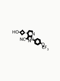 N#Cc1nn(-c2ccc(OC(F)(F)F)cc2)c2nccc([C@H]3C[C@@H](O)C3)c12